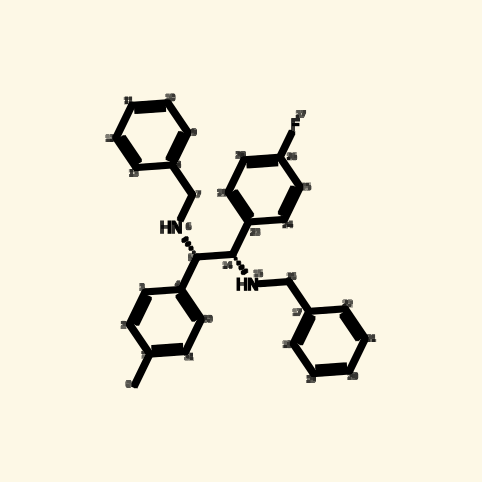 Cc1ccc([C@H](NCc2ccccc2)[C@@H](NCc2ccccc2)c2ccc(F)cc2)cc1